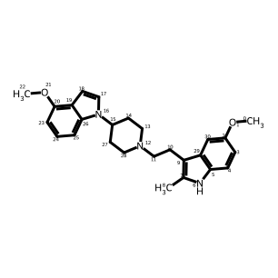 COc1ccc2[nH]c(C)c(CCN3CCC(n4ccc5c(OC)cccc54)CC3)c2c1